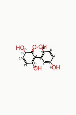 O=C1C(c2cc(O)ccc2O)=C(O)C=CC1O